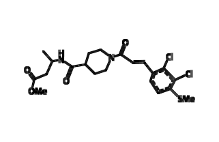 COC(=O)CC(C)NC(=O)C1CCN(C(=O)/C=C/c2ccc(SC)c(Cl)c2Cl)CC1